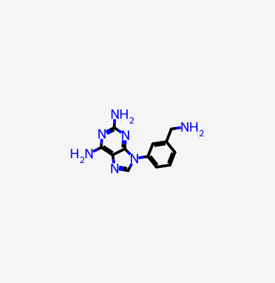 NCc1cccc(-n2cnc3c(N)nc(N)nc32)c1